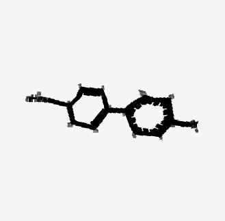 CCCCCCC1C=CC(c2ccc(Br)cc2)=CC1